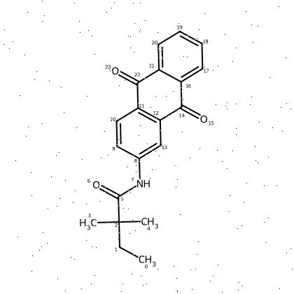 CCC(C)(C)C(=O)Nc1ccc2c(c1)C(=O)c1ccccc1C2=O